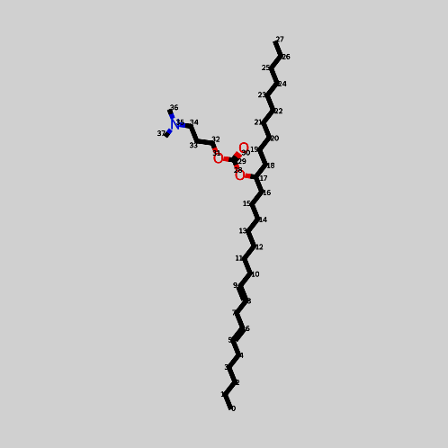 CCCCCC=CCC=CCCCCCCCC(CCCCCCCCCC)OC(=O)OCCCN(C)C